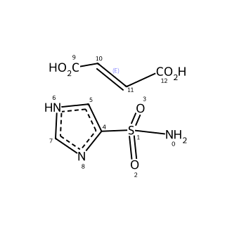 NS(=O)(=O)c1c[nH]cn1.O=C(O)/C=C/C(=O)O